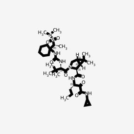 CCC[C@H](NC(=O)[C@@H]1[C@@H]2[C@H](CN1C(=O)[C@@H](NC(=O)NC1([C@@H](C)S(=O)(=O)N(C)C)CCCCC1)C(C)(C)C)C2(C)C)C(=O)C(=O)NC1CC1